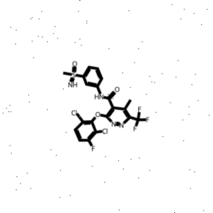 Cc1c(C(F)(F)F)nnc(Oc2c(Cl)ccc(F)c2Cl)c1C(=O)Nc1cccc(S(C)(=N)=O)c1